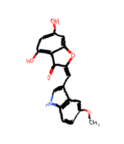 COc1ccc2[nH]cc(C=C3Oc4cc(O)cc(O)c4C3=O)c2c1